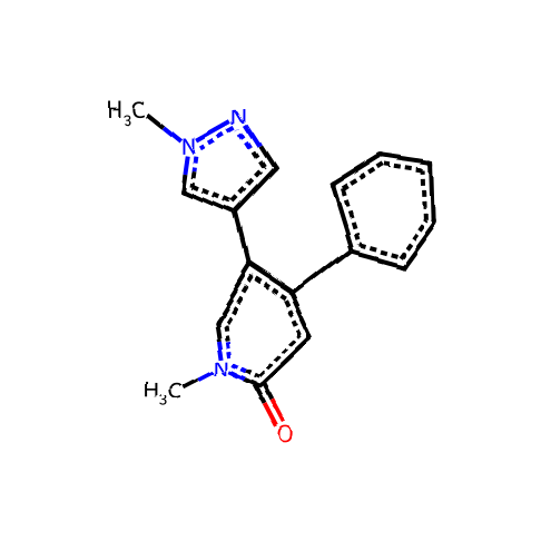 Cn1cc(-c2cn(C)c(=O)cc2-c2ccccc2)cn1